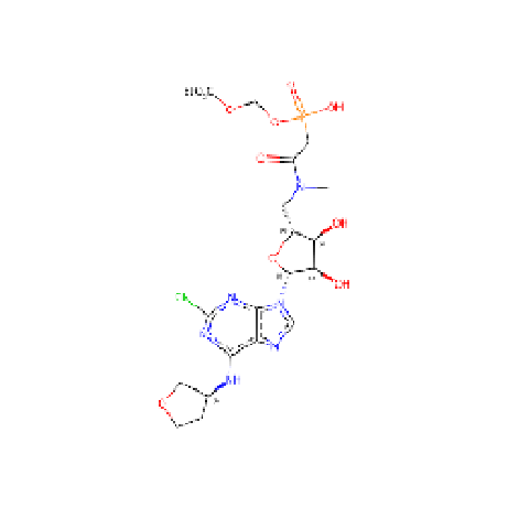 CCOC(=O)OCOP(=O)(O)CC(=O)N(C)C[C@H]1O[C@@H](n2cnc3c(N[C@H]4CCOC4)nc(Cl)nc32)[C@H](O)[C@@H]1O